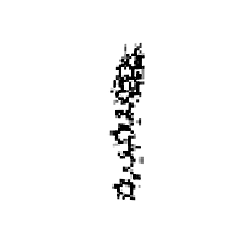 C[C@]12C=CC(=O)N[C@@H]1CC[C@@H]1[C@@H]2CC[C@]2(C)[C@@H](CC(=O)Nc3cccc(NC(=O)NCCN4CCOCC4)n3)CC[C@@H]12